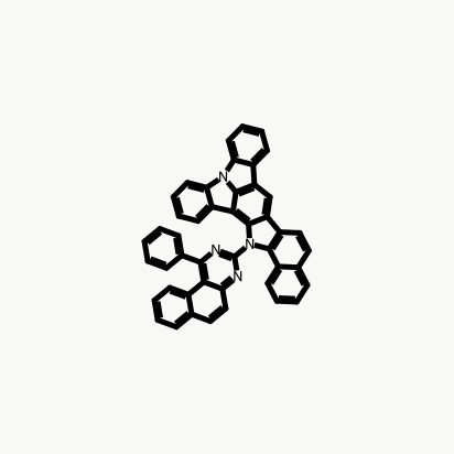 c1ccc(-c2nc(-n3c4c5ccccc5ccc4c4cc5c6ccccc6n6c7ccccc7c(c43)c56)nc3ccc4ccccc4c23)cc1